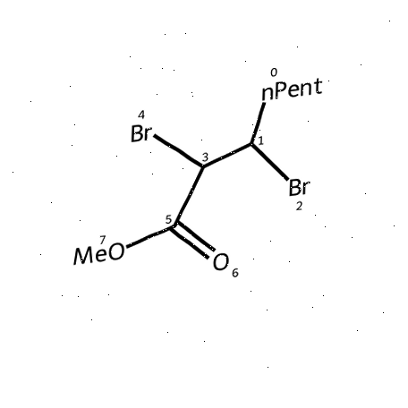 CCCCCC(Br)C(Br)C(=O)OC